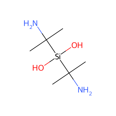 CC(C)(N)[Si](O)(O)C(C)(C)N